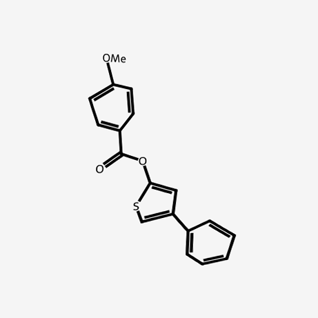 COc1ccc(C(=O)Oc2cc(-c3ccccc3)cs2)cc1